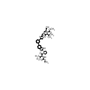 C#CCCN(Cc1nc(-c2cccc(-c3ccc4nc([C@@H]5CCCN5C(=O)[C@@H](NC(=O)OC)C(C)C)[nH]c4c3)c2)c[nH]1)C(=O)[C@@H](NC(=O)OC)C(C)C